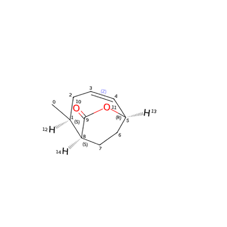 C[C@H]1C/C=C\[C@H]2CC[C@@H]1C(=O)O2